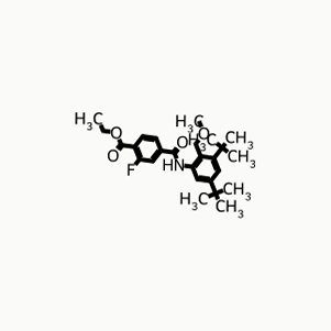 CCOC(=O)c1ccc(C(=O)Nc2cc(C(C)(C)C)cc(C(C)(C)C)c2COC)cc1F